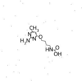 Cc1cc(OCCCCNC(=O)O)nc(N)n1